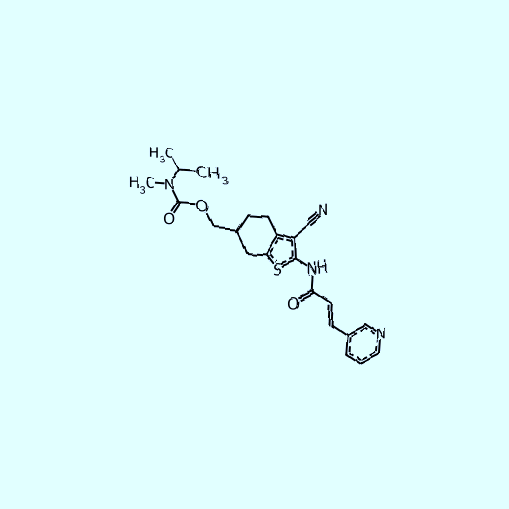 CC(C)N(C)C(=O)OCC1CCc2c(sc(NC(=O)C=Cc3cccnc3)c2C#N)C1